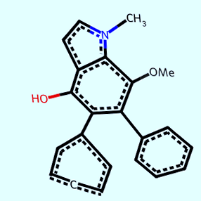 COc1c(-c2ccccc2)c(-c2ccccc2)c(O)c2ccn(C)c12